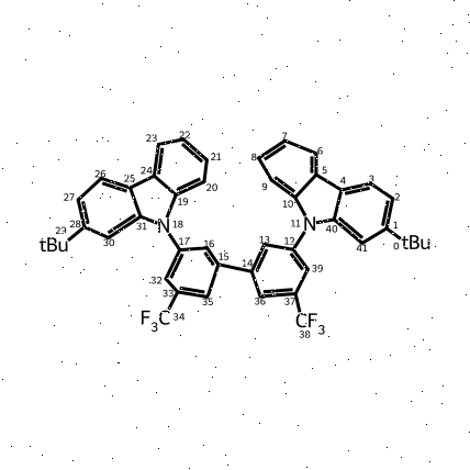 CC(C)(C)c1ccc2c3ccccc3n(-c3cc(-c4cc(-n5c6ccccc6c6ccc(C(C)(C)C)cc65)cc(C(F)(F)F)c4)cc(C(F)(F)F)c3)c2c1